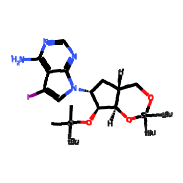 CC(C)(C)[Si](C)(C)O[C@@H]1[C@@H]2O[Si](C(C)(C)C)(C(C)(C)C)OC[C@H]2C[C@H]1n1cc(I)c2c(N)ncnc21